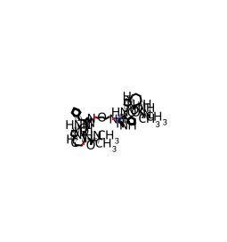 CN[C@@H](C)C(=O)N[C@H]1CCCC[C@H]2CC[C@@H](C(=O)N[C@@H](c3ccccc3)c3cn(CCOCCN/C=C(\N=N)[C@@H](NC(=O)[C@@H]4CC[C@@H]5CCCC[C@H](NC(=O)[C@H](C)NC)C(=O)N54)c4ccccc4)nn3)N2C1=O